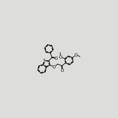 COc1ccc(C(=O)COc2c(C(=O)c3ccccc3)sc3ccccc23)c(OC)c1